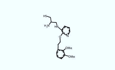 COc1cccc(CCOc2ncccc2NCC(N)CS)c1OC